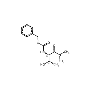 C[C@@H](O)[C@@H](NC(=O)OCc1ccccc1)C(=O)N(C)C